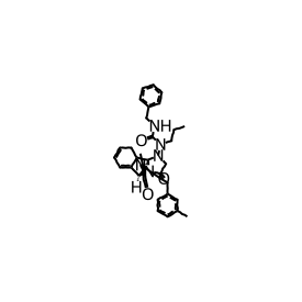 CCCN(C(=O)NCc1ccccc1)N1CC(=O)N2[C@@H]3C(=O)N(Cc4cccc(C)c4)C[C@@]21C1CC=CC=C13